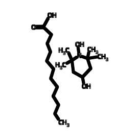 CC1(C)CC(O)CC(C)(C)N1O.CCCCCCCCCCCC(=O)O